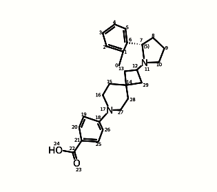 Cc1ccccc1[C@@H]1CCCN1C1CC2(CCN(c3ccc(C(=O)O)cc3)CC2)C1